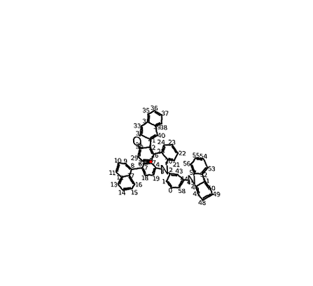 c1cc(N(c2ccc(-c3cccc4ccccc34)cc2)c2ccccc2-c2cccc3oc4cc5ccccc5cc4c23)cc(-n2c3ccccc3c3ccccc32)c1